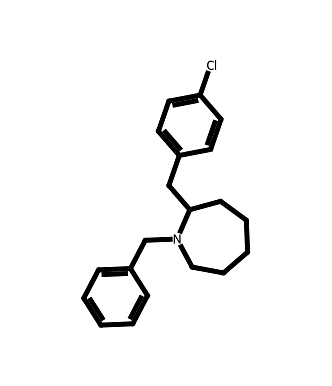 Clc1ccc(CC2CCCCCN2Cc2ccccc2)cc1